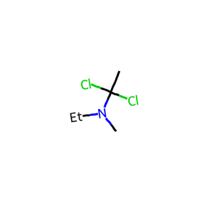 CCN(C)C(C)(Cl)Cl